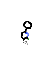 O=[N+]([O-])c1ccc(-c2ccccc2)nc1Cl